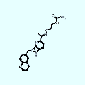 C/C(=N\OCCNC(N)=O)c1ccc2[nH]n(Cc3ccc4ncccc4c3)c2n1